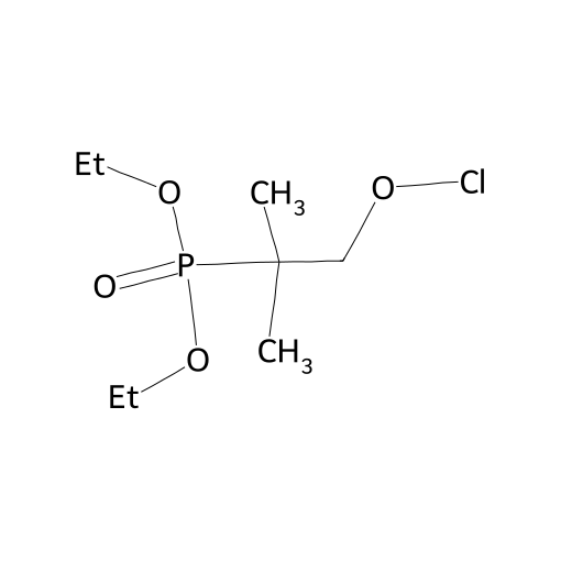 CCOP(=O)(OCC)C(C)(C)COCl